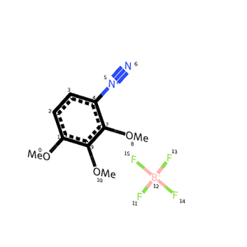 COc1ccc([N+]#N)c(OC)c1OC.F[B-](F)(F)F